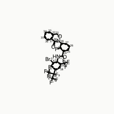 O=C(Nc1c(Br)cc(C(F)(C(F)(F)F)C(F)(F)F)cc1C(F)(F)F)c1cccc(N2OCc3ccccc3C2=O)c1F